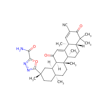 CC1(C)C(=O)C(C#N)=C[C@]2(C)C3=CC(=O)[C@@H]4[C@@H]5C[C@@](C)(c6nnc(C(N)=O)o6)CC[C@]5(C)CC[C@@]4(C)[C@]3(C)CC[C@@H]12